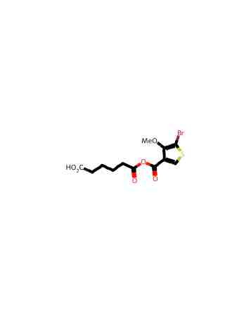 COc1c(C(=O)OC(=O)CCCCC(=O)O)csc1Br